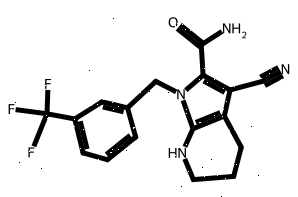 N#Cc1c2c(n(Cc3cccc(C(F)(F)F)c3)c1C(N)=O)NCCC2